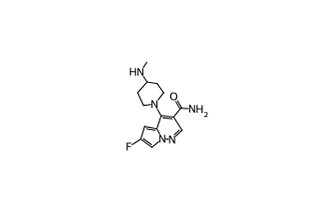 CNC1CCN(c2c(C(N)=O)cnn3cc(F)cc23)CC1